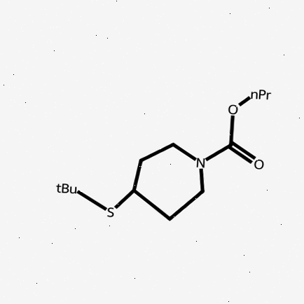 CCCOC(=O)N1CCC(SC(C)(C)C)CC1